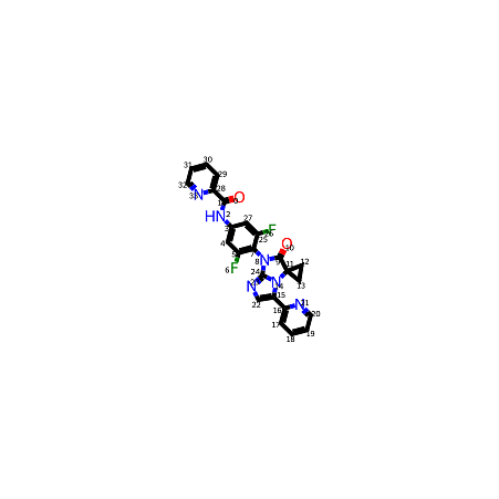 O=C(Nc1cc(F)c(N2C(=O)C3(CC3)n3c(-c4ccccn4)cnc32)c(F)c1)c1ccccn1